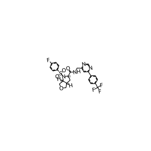 O=C(NCc1cc(-c2ccc(C(F)(F)F)cc2)ncn1)[C@H]1C[C@@H]2COC[C@@H]2N1S(=O)(=O)c1ccc(F)cc1